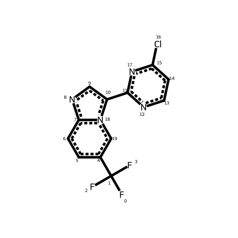 FC(F)(F)c1ccc2ncc(-c3nccc(Cl)n3)n2c1